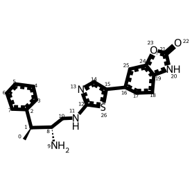 C[C@@H](c1ccccc1)[C@@H](N)CNc1ncc(-c2ccc3[nH]c(=O)oc3c2)s1